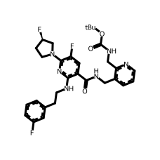 CC(C)(C)OC(=O)NCc1ncccc1CNC(=O)c1cc(F)c(N2CC[C@@H](F)C2)nc1NCCc1cccc(F)c1